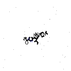 C=C(/C=C\C(=C/C)C(=O)N(C)C)c1nnc(N2CCN(C(C)C)CC2)cc1C(C)CC